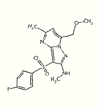 CNc1nn2c(COC)cc(C)nc2c1S(=O)(=O)c1ccc(F)cc1